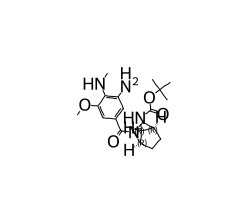 CNc1c(N)cc(C(=O)N2C[C@H]3CC[C@@H]2[C@@H]3NC(=O)OC(C)(C)C)cc1OC